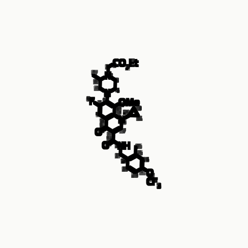 CCOC(=O)CN1CCN(c2c(F)cc3c(=O)c(C(=O)NCc4ccc(OC(F)(F)F)cc4C)cn(C4CC4)c3c2OC)CC1C